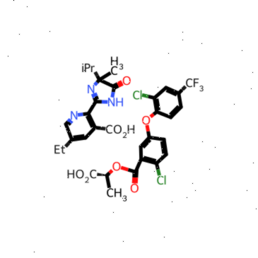 CCc1cnc(C2=NC(C)(C(C)C)C(=O)N2)c(C(=O)O)c1.C[C@H](OC(=O)c1cc(Oc2ccc(C(F)(F)F)cc2Cl)ccc1Cl)C(=O)O